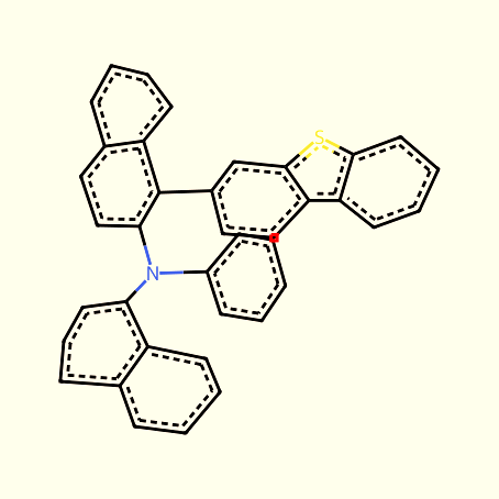 c1ccc(N(c2ccc3ccccc3c2-c2ccc3c(c2)sc2ccccc23)c2cccc3ccccc23)cc1